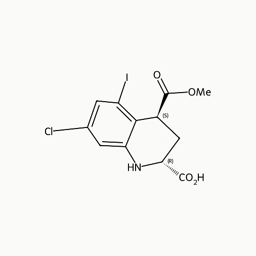 COC(=O)[C@H]1C[C@H](C(=O)O)Nc2cc(Cl)cc(I)c21